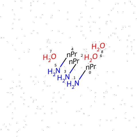 CCCN.CCCN.CCCN.O.O.O